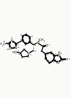 CN(C(=O)Cc1ccc2sc(=O)[nH]c2c1)[C@H](CN1CCC(O)C1)c1cccc(-c2noc(C(F)(F)F)n2)c1